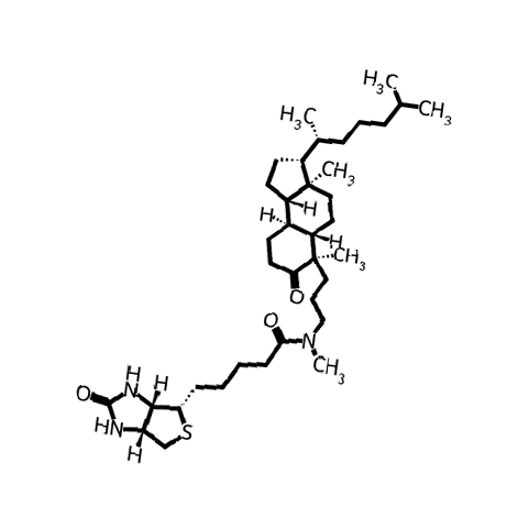 CC(C)CCC[C@@H](C)[C@H]1CC[C@H]2[C@@H]3CCC(=O)[C@](C)(CCCN(C)C(=O)CCCC[C@@H]4SC[C@@H]5NC(=O)N[C@@H]54)[C@H]3CC[C@]12C